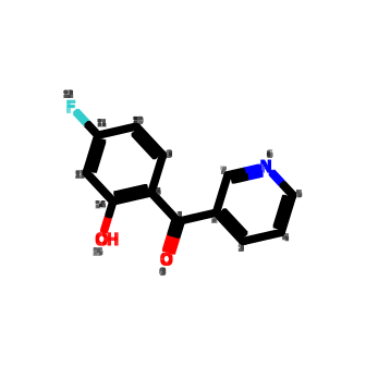 O=C(c1cccnc1)c1ccc(F)cc1O